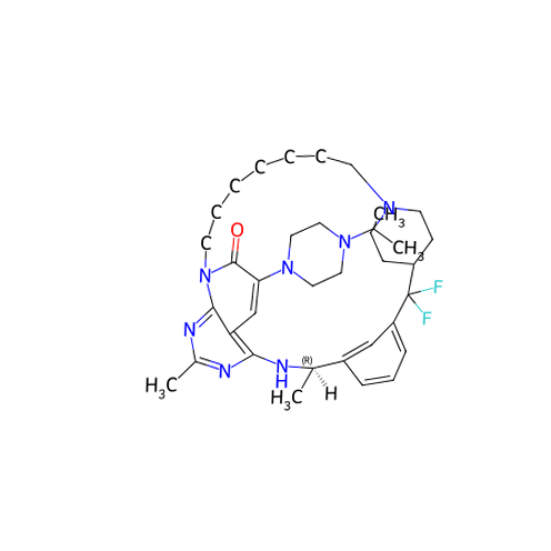 Cc1nc2c3cc(N4CCN(C(C)C)CC4)c(=O)n(c3n1)CCCCCCCN1CCC(CC1)C(F)(F)c1cccc(c1)[C@@H](C)N2